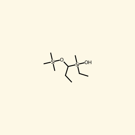 CCC(O[Si](C)(C)C)[Si](C)(O)CC